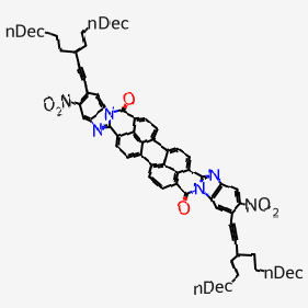 CCCCCCCCCCCCC(C#Cc1cc2c(cc1[N+](=O)[O-])nc1c3ccc4c5ccc6c(=O)n7c8cc(C#CC(CCCCCCCCCCCC)CCCCCCCCCCCC)c([N+](=O)[O-])cc8nc7c7ccc(c8ccc(c(=O)n21)c3c84)c5c67)CCCCCCCCCCCC